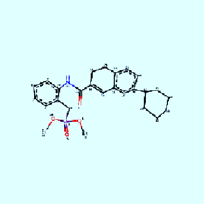 CCOP(=O)(Cc1ccccc1NC(=O)C1=Cc2cc(C3CCCCC3)ccc2CC1)OCC